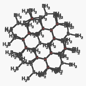 BB(B)B(B)B(B(B)B)B(B(B(B(B)B)B(B)B)B(B(B)B)B(B)B)B(B(B(B(B(B)B)B(B)B)B(B(B)B)B(B)B)B(B(B(B)B)B(B)B)B(B(B)B)B(B)B)B(B(B(B(B)B)B(B)B)B(B(B)B)B(B)B)B(B(B(B)B)B(B)B)B(B(B)B)B(B)B